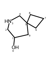 OC1CNCC2(CCC2)C1